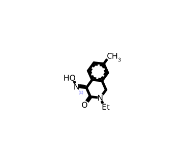 CCN1Cc2cc(C)ccc2/C(=N\O)C1=O